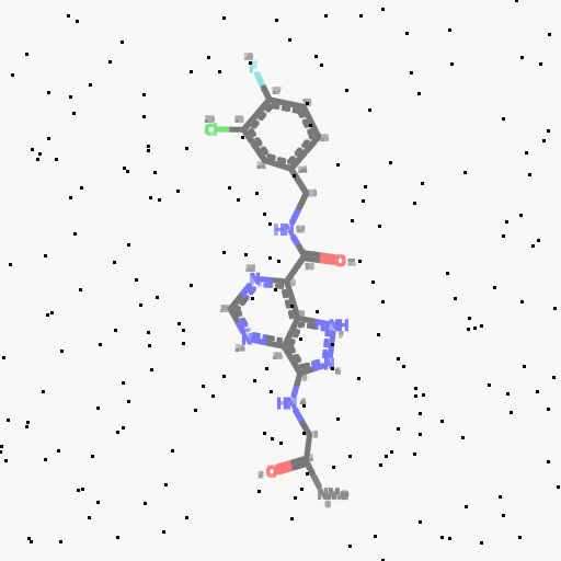 CNC(=O)CNc1n[nH]c2c(C(=O)NCc3ccc(F)c(Cl)c3)ncnc12